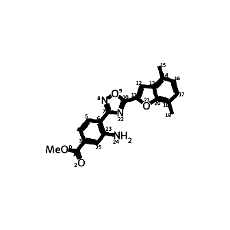 COC(=O)c1ccc(-c2noc(-c3cc4c(C)ccc(C)c4o3)n2)c(N)c1